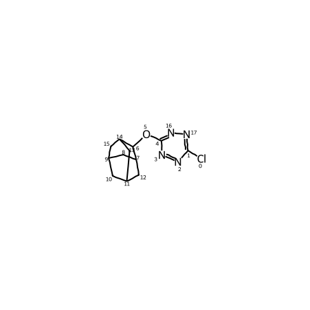 Clc1nnc(OC2C3CC4CC(C3)CC2C4)nn1